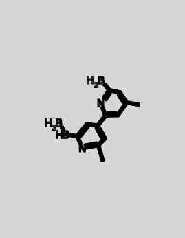 BBc1cc(-c2cc(C)cc(B)n2)cc(C)n1